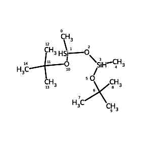 C[SiH](O[SiH](C)OC(C)(C)C)OC(C)(C)C